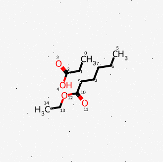 CCC(=O)O.CCCCCC(=O)OCC